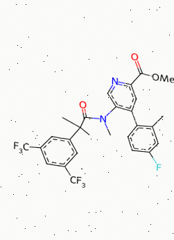 COC(=O)c1cc(-c2ccc(F)cc2C)c(N(C)C(=O)C(C)(C)c2cc(C(F)(F)F)cc(C(F)(F)F)c2)cn1